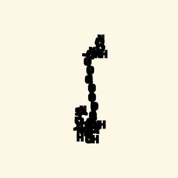 Cc1cnc(Nc2ccc3cnccc3c2)cc1OCCOCCOCCOCCOCCOCCOCC(=O)NC(C(=O)N1C[C@H](O)C[C@H]1C(=O)NC(C)c1ccc(-c2scnc2C)cc1)C(C)(C)C